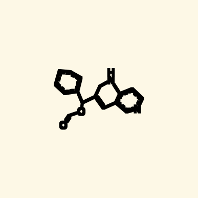 O=COC(C1=Cc2cnccc2NC1)c1ccccc1